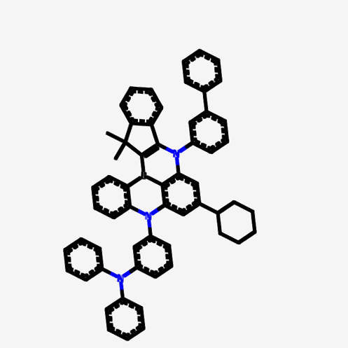 CC1(C)C2=C(c3ccccc31)N(c1cccc(-c3ccccc3)c1)c1cc(C3CCCCC3)cc3c1B2c1ccccc1N3c1cccc(N(c2ccccc2)c2ccccc2)c1